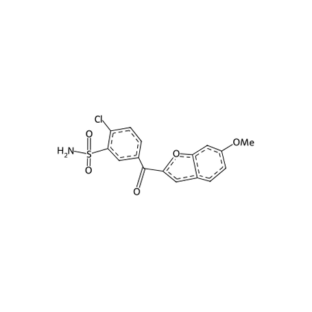 COc1ccc2cc(C(=O)c3ccc(Cl)c(S(N)(=O)=O)c3)oc2c1